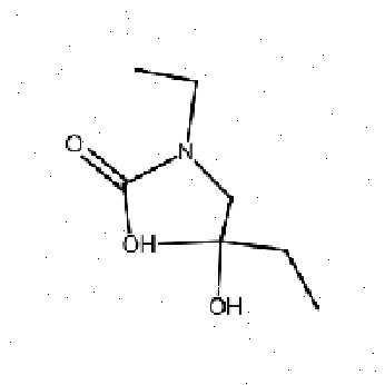 CCN(CC(C)(O)CC)C(=O)O